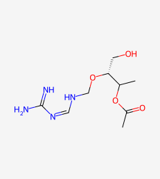 CC(=O)OC(C)[C@@H](CO)OCN/C=N\C(=N)N